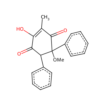 COC1(c2ccccc2)C(=O)C(C)=C(O)C(=O)C1c1ccccc1